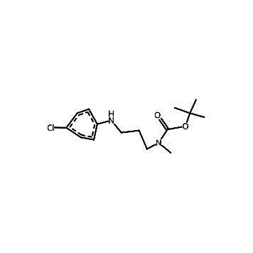 CN(CCCNc1ccc(Cl)cc1)C(=O)OC(C)(C)C